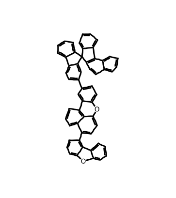 c1ccc2c(c1)-c1ccc(-c3ccc4c(c3)-c3cccc5c(-c6cccc7oc8ccccc8c67)ccc(c35)O4)cc1C21c2ccccc2-c2c1ccc1ccccc21